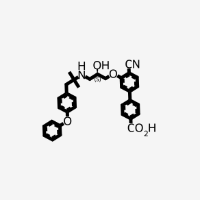 CC(C)(Cc1ccc(Oc2ccccc2)cc1)NC[C@H](O)COc1cc(-c2ccc(C(=O)O)cc2)ccc1C#N